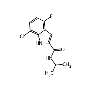 CC(C)NC(=O)c1cc2c(F)ccc(Cl)c2[nH]1